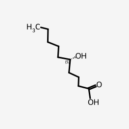 CCCCC[C@H](O)CCCC(=O)O